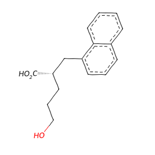 O=C(O)[C@@H](CCCO)Cc1cccc2ccccc12